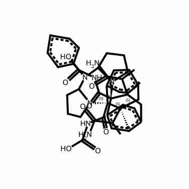 CC(C(N)=O)[C@]1(C)Cc2ccc(cc2)[C@@]1(C(=O)NC(=O)O)N1CCCC1N(c1ccccc1)C1CCCN1[C@]1(C(=O)NC(=O)O)c2ccc(cc2)C[C@@]1(C)C(C)C(N)=O